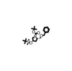 CC(C)(C)OC(=O)N1C[C@H](O[Si](C)(C)C(C)(C)C)C[C@H]1COCc1ccccc1